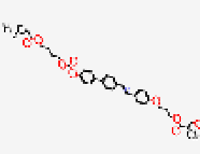 C=CC(=O)OCCCCOC(=O)Oc1ccc(-c2ccc(/C=C/c3ccc(OCCCOC(=O)C(=C)CO)cc3)cc2)cc1